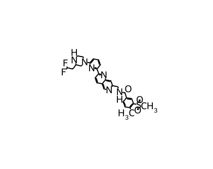 Cc1ccc(C(=O)NCc2cc3nc(-c4cccc(N5CCNC(CC(F)F)C5)n4)ccc3cn2)cc1S(C)(=O)=O